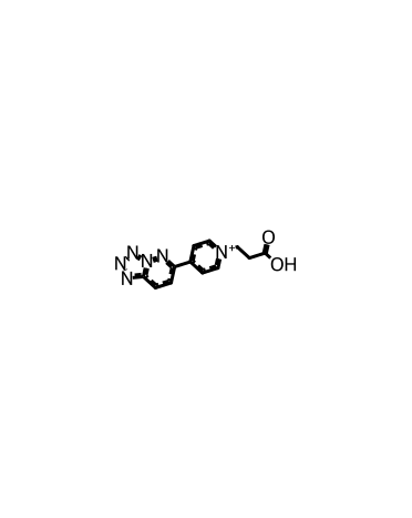 O=C(O)CC[n+]1ccc(-c2ccc3nnnn3n2)cc1